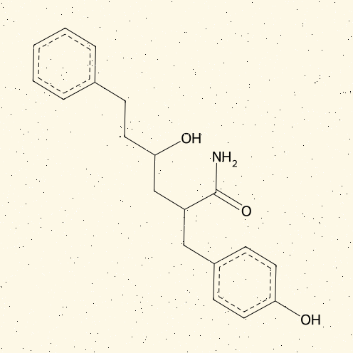 NC(=O)C(Cc1ccc(O)cc1)CC(O)[CH]Cc1ccccc1